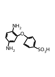 Nc1ccc(N)c(Oc2ccc(S(=O)(=O)O)cc2)c1